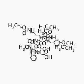 C=CCOC(=O)NCCCC[C@@H](NC(=O)[C@H](Cc1ccc(OC(C)(C)C)cc1)NC(=O)OC(C)(C)C)C(=O)NCC(=O)N(C)[C@@H](Cc1ccccc1)C(=O)N[C@@H](CC(=O)O)C(=O)O